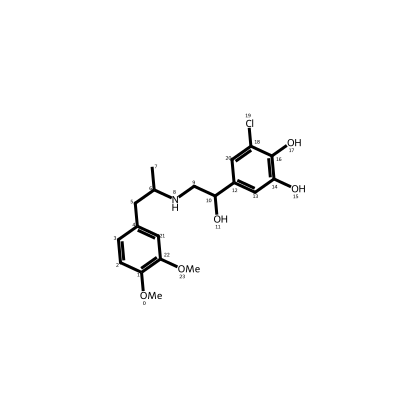 COc1ccc(CC(C)NCC(O)c2cc(O)c(O)c(Cl)c2)cc1OC